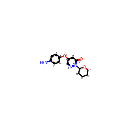 Nc1ccc(Oc2cnn(C3CCCCO3)c(=O)c2)cc1